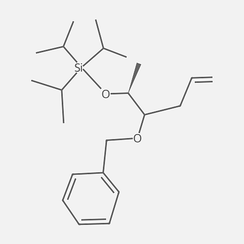 C=CCC(OCc1ccccc1)[C@H](C)O[Si](C(C)C)(C(C)C)C(C)C